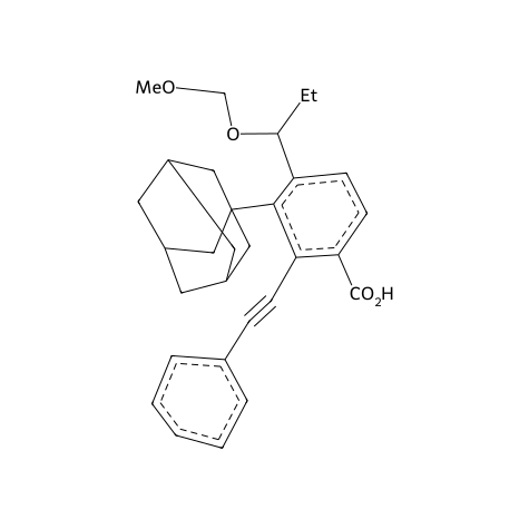 CCC(OCOC)c1ccc(C(=O)O)c(C#Cc2ccccc2)c1C12CC3CC(CC(C3)C1)C2